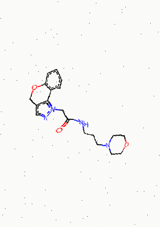 O=C(Cn1ncc2c1-c1ccccc1OC2)NCCCN1CCOCC1